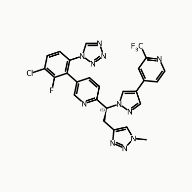 Cn1cc(C[C@@H](c2ccc(-c3c(-n4cnnn4)ccc(Cl)c3F)cn2)n2cc(-c3ccnc(C(F)(F)F)c3)cn2)nn1